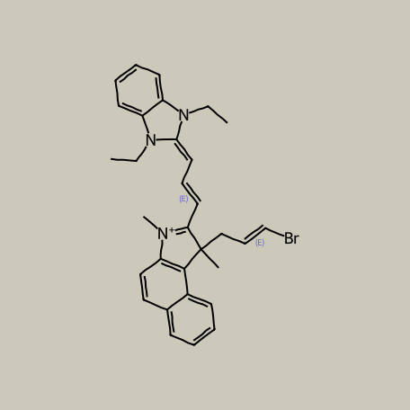 CCN1C(=C/C=C/C2=[N+](C)c3ccc4ccccc4c3C2(C)C/C=C/Br)N(CC)c2ccccc21